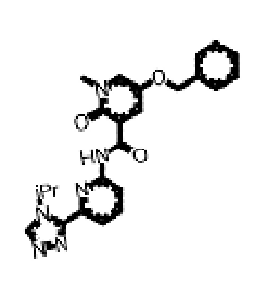 CC(C)n1cnnc1-c1cccc(NC(=O)c2cc(OCc3ccccc3)cn(C)c2=O)n1